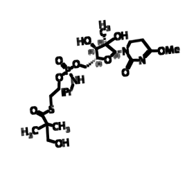 COC1=NC(=O)N([C@@H]2O[C@H](COP(=O)(NC(C)C)OCCSC(=O)C(C)(C)CO)[C@@H](O)[C@@]2(C)O)CC1